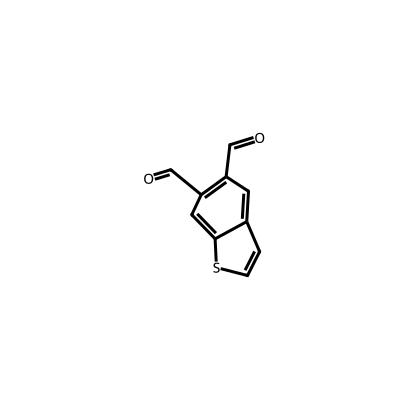 O=Cc1cc2ccsc2cc1C=O